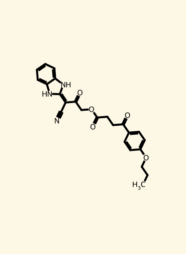 CCCOc1ccc(C(=O)CCC(=O)OCC(=O)C(C#N)=C2Nc3ccccc3N2)cc1